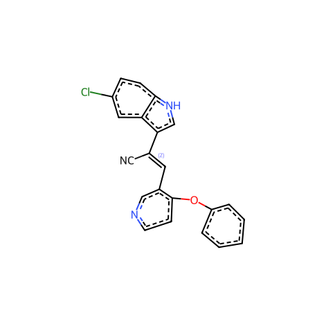 N#C/C(=C\c1cnccc1Oc1ccccc1)c1c[nH]c2ccc(Cl)cc12